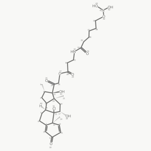 C[C@H]1CC2[C@@H]3CCC4=CC(=O)C=C[C@]4(C)C3(Cl)[C@@H](O)C[C@]2(C)[C@@]1(O)C(=O)COC(=O)CCNC(=O)CCCCCON(O)O